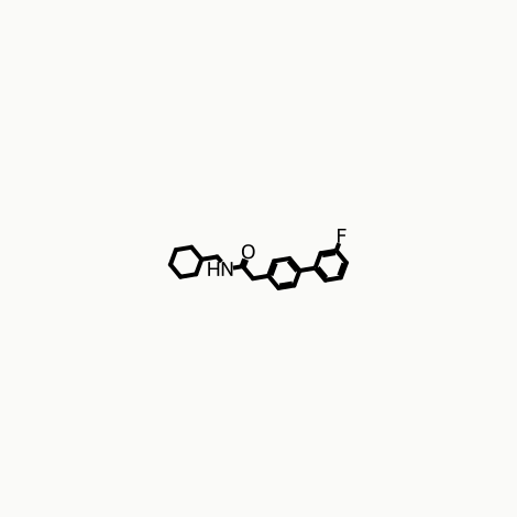 O=C(Cc1ccc(-c2cccc(F)c2)cc1)NCC1CCCCC1